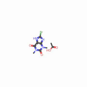 CC(=O)O.Cn1c(=O)c2[nH]c(Br)nc2n(C)c1=O